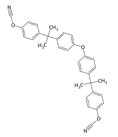 CC(C)(c1ccc(OC#N)cc1)c1ccc(Oc2ccc(C(C)(C)c3ccc(OC#N)cc3)cc2)cc1